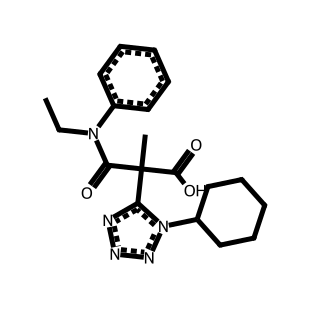 CCN(C(=O)C(C)(C(=O)O)c1nnnn1C1CCCCC1)c1ccccc1